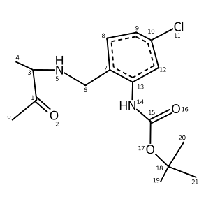 CC(=O)C(C)NCc1ccc(Cl)cc1NC(=O)OC(C)(C)C